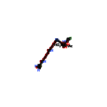 CC(=O)N[C@H]1[C@H]([C@H](O)[C@H](O)CNC(=O)Cc2ccc(Cl)cc2)O[C@@](OCCCCCCn2cc(COCCOCCOCCOCCNC(=O)CCOCCOCCOCCOCCNC(=O)CCCC[C@H]3SC[C@H]4NC(=O)N[C@H]43)nn2)(C(=O)O)C[C@@H]1O